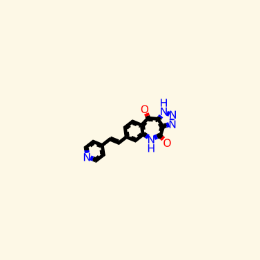 O=c1[nH]c2cc(/C=C/c3ccncc3)ccc2c(=O)c2[nH]nnc12